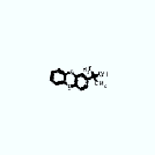 CC(C)(O)c1ccc2c(c1)Sc1ccccc1S2